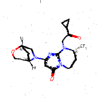 O=C(CN1c2nc(N3C[C@@H]4C[C@H]3CO4)cc(=O)n2CC[C@H]1C(F)(F)F)C1CC1